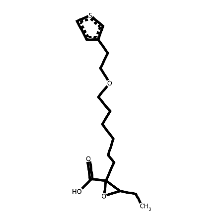 CCC1OC1(CCCCCCOCCc1ccsc1)C(=O)O